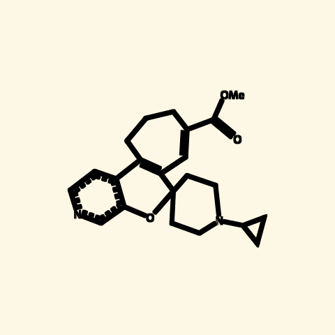 COC(=O)C1=CC2=C(CCC1)c1ccncc1OC21CCN(C2CC2)CC1